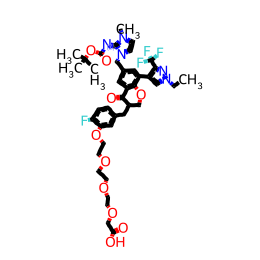 CCn1cc(-c2cc(Cn3ccn(C)/c3=N/C(=O)OC(C)(C)C)cc3c2OCC(Cc2ccc(F)c(OCCOCCOCCOCC(=O)O)c2)C3=O)c(C(F)(F)F)n1